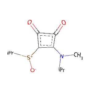 CC(C)N(C)c1c([S+]([O-])C(C)C)c(=O)c1=O